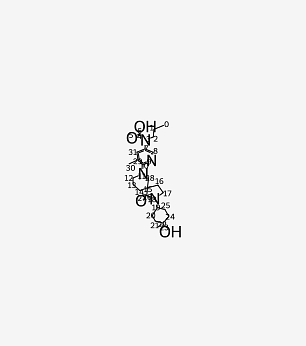 CCCN(C(=O)O)c1cnc(N2CCCC3(CCN(C4CCC(O)CC4)C3=O)C2)c(C)c1